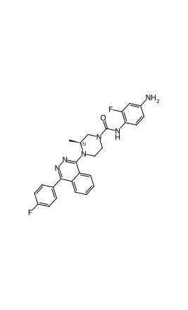 C[C@H]1CN(C(=O)Nc2ccc(N)cc2F)CCN1c1nnc(-c2ccc(F)cc2)c2ccccc12